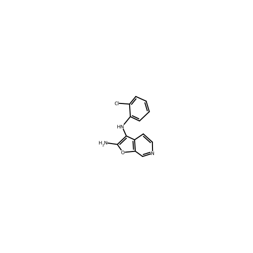 Nc1oc2cnccc2c1Nc1ccccc1Cl